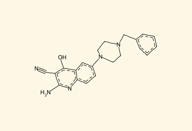 N#Cc1c(N)nc2ccc(N3CCN(Cc4ccccc4)CC3)cc2c1O